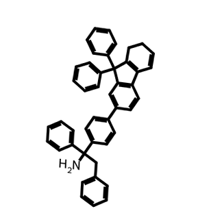 NC(Cc1ccccc1)(c1ccccc1)c1ccc(-c2ccc3c(c2)C(c2ccccc2)(c2ccccc2)C2=C3C=CCC2)cc1